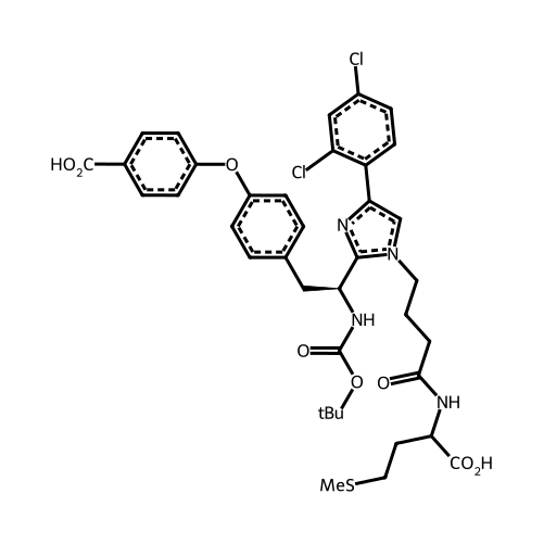 CSCCC(NC(=O)CCCn1cc(-c2ccc(Cl)cc2Cl)nc1[C@H](Cc1ccc(Oc2ccc(C(=O)O)cc2)cc1)NC(=O)OC(C)(C)C)C(=O)O